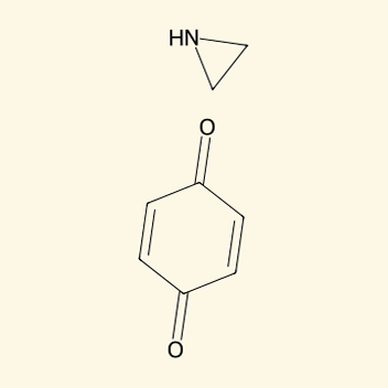 C1CN1.O=C1C=CC(=O)C=C1